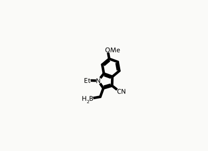 BCc1c(C#N)c2ccc(OC)cc2n1CC